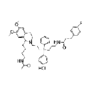 COc1cc2c(cc1OC)C(CCCCNC(C)=O)N(CCCC(CCCNC(=O)CCc1ccc(F)cc1)(c1ccccc1)c1ccccc1)CC2.Cl